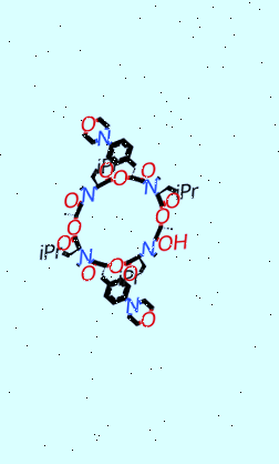 CC(C)C[C@H]1C(=O)O[C@H](Cc2ccc(N3CCOCC3)cc2)C(=O)N(C)[C@@H](CC(C)C)C(=O)O[C@H](C)C(O)N(C)[C@@H](CC(C)C)C(=O)O[C@H](Cc2ccc(N3CCOCC3)cc2)C(=O)N(C)[C@@H](CC(C)C)C(=O)O[C@H](C)C(=O)N1C